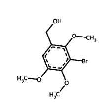 COc1cc(CO)c(OC)c(Br)c1OC